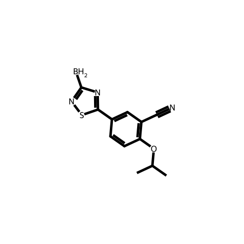 Bc1nsc(-c2ccc(OC(C)C)c(C#N)c2)n1